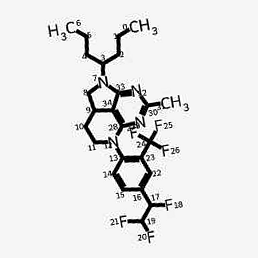 CCCC(CCC)N1CC2CCN(c3ccc(C(F)C(F)F)cc3C(F)(F)F)c3nc(C)nc1c32